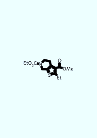 CCOC(=O)N1CCc2c(sc(CC)c2C(=O)OC)C1